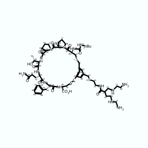 CCCCNC(=O)N[C@H]1CSCc2cc(CSCCNC(=O)C(CCNCN)CNCCN)cc(c2)CSC[C@@H](C(=O)O)NC(=O)[C@H](Cc2ccccc2)NC(=O)[C@H](CCC(N)=O)NC(=O)[C@H]([C@@H](C)O)NC(=O)[C@@H]2CCCN2C(=O)[C@@H]2CCCN2C1=O